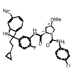 CO[C@@H]1C[C@H](C(=O)Nc2cc(C3(CCC4CC4)NC4C=C(C#N)C=CC=C43)ccc2F)N(C(=O)Nc2ccc(Cl)cc2)C1